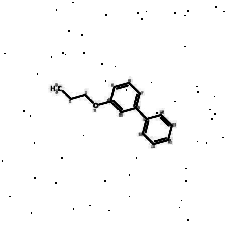 CCCOc1cccc(-c2cc[c]cc2)c1